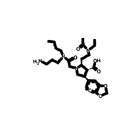 CCCCN(CCCN)C(=O)CN1C[C@H](c2ccc3c(c2)OCO3)[C@@H](C(=O)O)[C@@H]1CCN(CC)C(C)=O